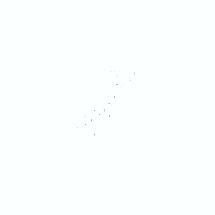 CO[C@@H]1[C@@H](OC(N)=O)[C@@H](O)[C@H](Oc2ccc3c(OCC4CO4)c(NC(=O)c4ccc(O)c(CC=C(C)C)c4)c(=O)oc3c2C)OC1(C)C